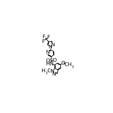 COc1cc(NS(=O)(=O)c2ccc(-n3cc(C(F)(F)F)cn3)nc2)c2c(cnn2C)c1